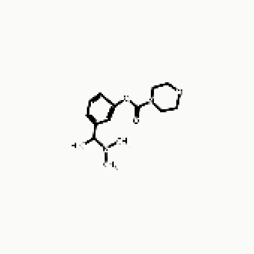 CC(c1cccc(OC(=O)N2CCOCC2)c1)N(C)C